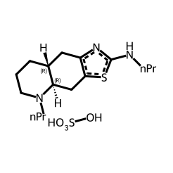 CCCNc1nc2c(s1)C[C@@H]1[C@H](CCCN1CCC)C2.O=S(=O)(O)O